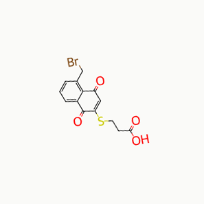 O=C(O)CCSC1=CC(=O)c2c(CBr)cccc2C1=O